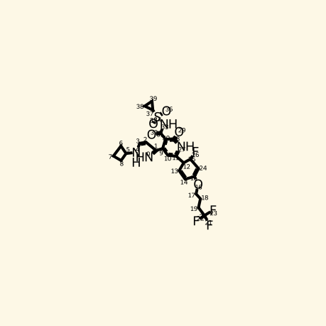 N=C(/C=C\NC1CCC1)c1cc(C2C=CC(OCCCC(F)(F)F)=CC2F)[nH]c(=O)c1C(=O)NS(=O)(=O)C1CC1